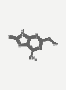 CCOc1nc(C)c2sc(=S)[nH]c2n1